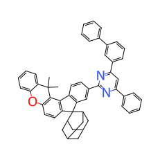 CC1(C)c2ccccc2Oc2ccc3c(c21)-c1ccc(-c2nc(-c4ccccc4)cc(-c4cccc(-c5ccccc5)c4)n2)cc1C31C2CC3CC(C2)CC1C3